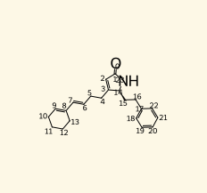 O=C1C=C(CC/C=C/C2=CCCCC2)[C@H](CCc2ccccc2)N1